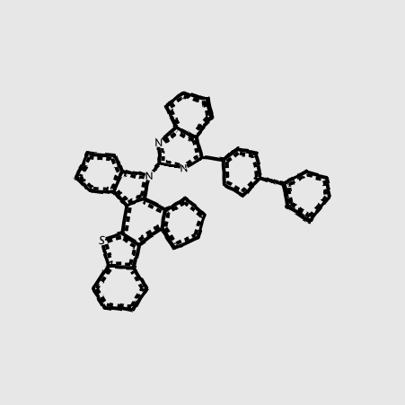 c1ccc(-c2ccc(-c3nc(-n4c5ccccc5c5c6sc7ccccc7c6c6ccccc6c54)nc4ccccc34)cc2)cc1